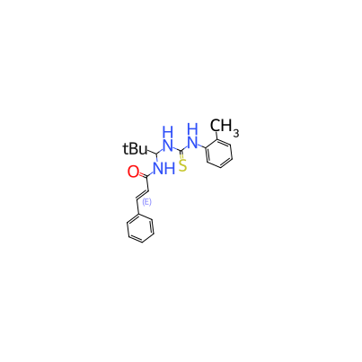 Cc1ccccc1NC(=S)NC(NC(=O)/C=C/c1ccccc1)C(C)(C)C